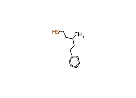 CC(CCS)CCc1ccccc1